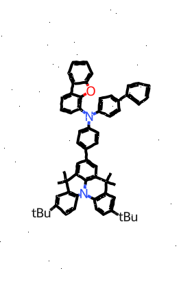 CC(C)(C)c1ccc2c(c1)C(C)(C)c1cc(-c3ccc(N(c4ccc(-c5ccccc5)cc4)c4cccc5c4oc4ccccc45)cc3)cc3c1N2c1ccc(C(C)(C)C)cc1C3(C)C